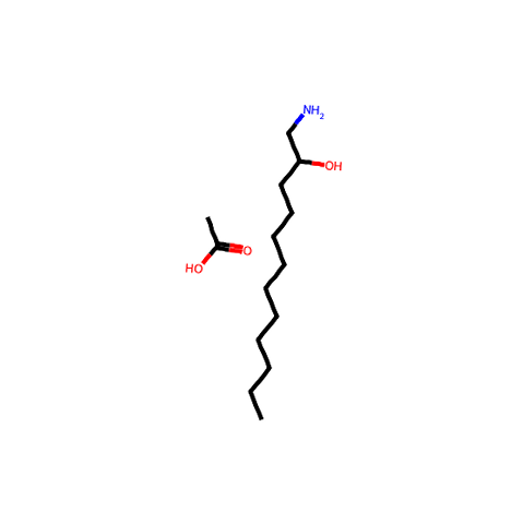 CC(=O)O.CCCCCCCCCCC(O)CN